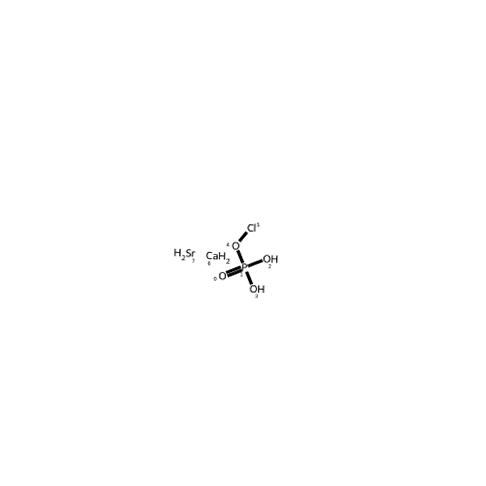 O=P(O)(O)OCl.[CaH2].[SrH2]